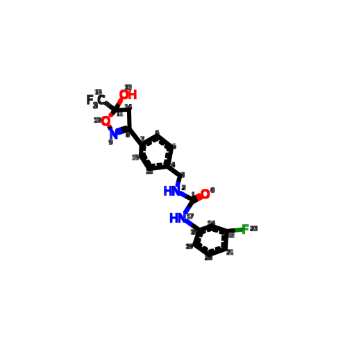 O=C(NCc1ccc(C2=NOC(O)(C(F)(F)F)C2)cc1)Nc1cccc(F)c1